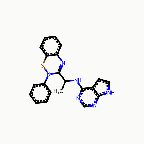 CC(Nc1ncnc2[nH]ccc12)C1=Nc2ccccc2SN1c1ccccc1